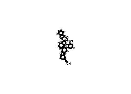 C#Cc1ccc2oc3ccc(-c4cccc(C#N)c4-n4c5c(c6ccccc64)-c4sc6ccccc6c4CC5)cc3c2c1